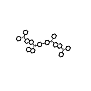 c1ccc(N(c2ccccc2)c2ccc3cc(N(c4ccccc4)c4ccc(-c5ccc(N(c6ccc7cc(N(c8ccccc8)c8ccccc8)ccc7c6)c6cccc7ccccc67)cc5)cc4)ccc3c2)cc1